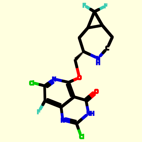 O=c1[nH]c(Cl)nc2c(F)c(Cl)nc(OC[C@@H]3CC4C(CCN3)C4(F)F)c12